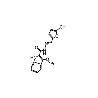 Cc1ccc(C=NNC(=O)c2[nH]c3ccccc3c2OC(C)C)o1